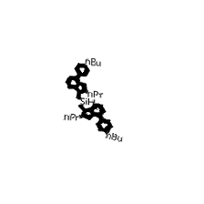 CCCCc1ccc(-c2cccc3c2C=C(CCC)C3C[SiH2]CC2C(CCC)=Cc3c(-c4ccc(CCCC)cc4)cccc32)cc1